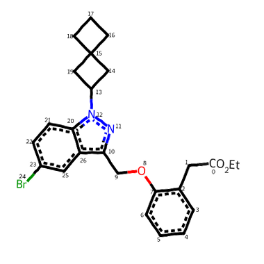 CCOC(=O)Cc1ccccc1OCc1nn(C2CC3(CCC3)C2)c2ccc(Br)cc12